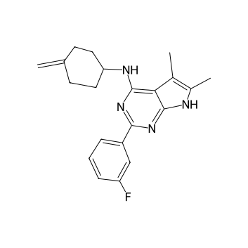 C=C1CCC(Nc2nc(-c3cccc(F)c3)nc3[nH]c(C)c(C)c23)CC1